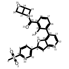 CS(=O)(=O)c1ccc(-c2cc3nccc(-c4cccc(C(=O)N5CC6OCC65)c4F)c3o2)cn1